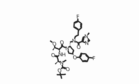 CO[C@H](C)[C@H](NC(=O)[C@H](C)N(C)C(=O)OC(C)(C)C)C(=O)N1C[C@@H](Oc2ccc(F)cc2)C[C@H]1CN(CCc1ccc(F)cc1)C(=O)c1cn(C)cn1